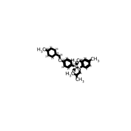 Cc1ccc(N(CC(C)C)S(=O)(=O)c2ccc(OCC3CCC(C)CC3)cc2)c(C)c1